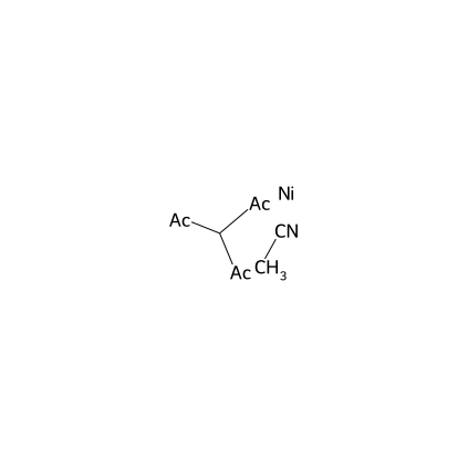 CC#N.CC(=O)C(C(C)=O)C(C)=O.[Ni]